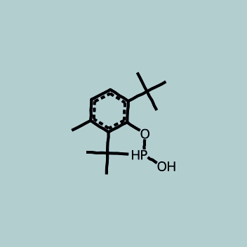 Cc1ccc(C(C)(C)C)c(OPO)c1C(C)(C)C